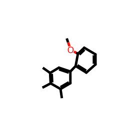 COc1ccccc1-c1cc(C)c(C)c(C)c1